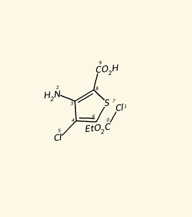 CCOC(=O)Cl.Nc1c(Cl)csc1C(=O)O